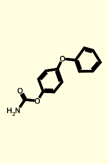 NC(=O)Oc1ccc(Oc2ccccc2)cc1